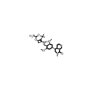 COc1cc(-c2cn(C)c(=O)c3cnccc23)cc(OC)c1CNC12CC(OC(N)=O)(C1)C2C(C)(C)C